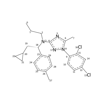 CCCN(c1nc(C)n(-c2ccc(Cl)cc2Cl)n1)[C@@H](CC1CC1)c1ccc(C)cc1